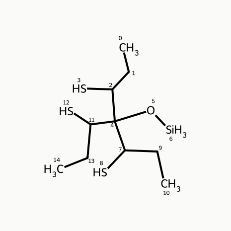 CCC(S)C(O[SiH3])(C(S)CC)C(S)CC